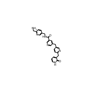 NCc1ccc(CNC(=O)c2cncc(Cc3ccc(Cc4ccc[nH]c4=O)nc3)c2)cn1